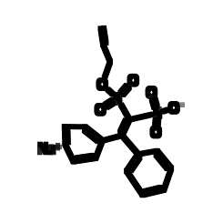 C=CCOS(=O)(=O)C(=C(c1ccccc1)c1ccccc1)S(=O)(=O)[O-].[Na+]